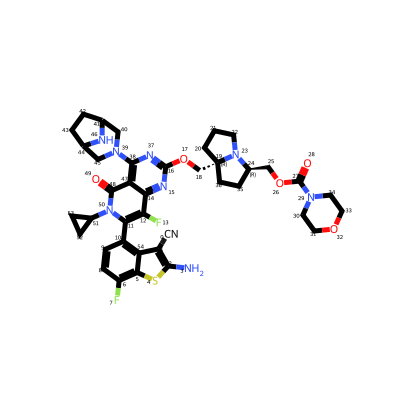 N#Cc1c(N)sc2c(F)ccc(-c3c(F)c4nc(OC[C@]56CCCN5[C@@H](COC(=O)N5CCOCC5)CC6)nc(N5CC6CCC(C5)N6)c4c(=O)n3C3CC3)c12